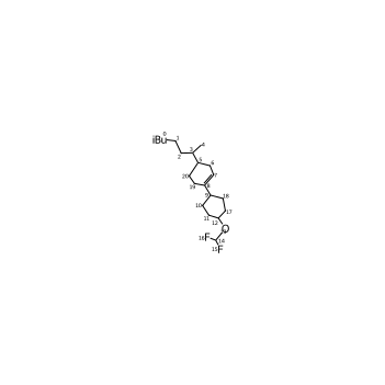 CCC(C)CCC(C)C1CC=C(C2CCC(OC(F)F)CC2)CC1